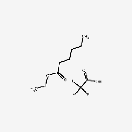 CCCCCC(=O)OCC.O=C(O)C(F)(F)F